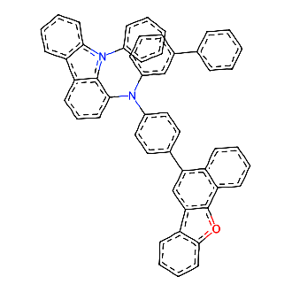 c1ccc(-c2cccc(N(c3ccc(-c4cc5c6ccccc6oc5c5ccccc45)cc3)c3cccc4c5ccccc5n(-c5ccccc5)c34)c2)cc1